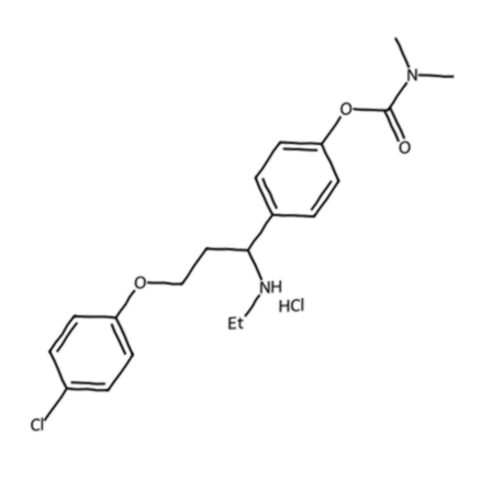 CCNC(CCOc1ccc(Cl)cc1)c1ccc(OC(=O)N(C)C)cc1.Cl